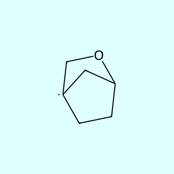 C1CC2C[C]1CO2